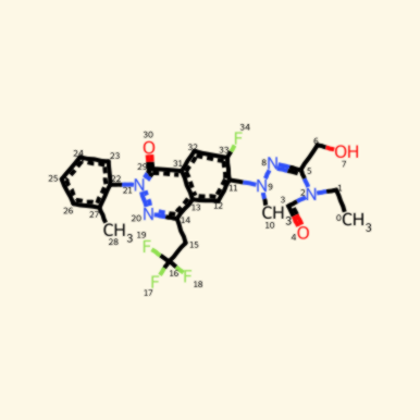 CCN(C=O)/C(CO)=N\N(C)c1cc2c(CC(F)(F)F)nn(-c3ccccc3C)c(=O)c2cc1F